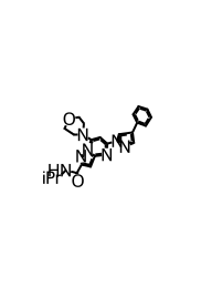 CC(C)NC(=O)c1cc2nc(-n3cc(-c4ccccc4)cn3)cc(N3CCOCC3)n2n1